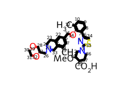 CO[C@@H]1CN(c2nc(-c3cccc(C)c3OCc3cc(C)c4c(c3)CCN(CC3COCCO3)C4)cs2)CC[C@@H]1C(=O)O